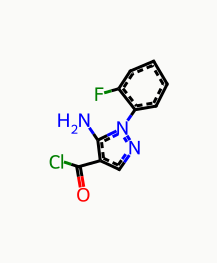 Nc1c(C(=O)Cl)cnn1-c1ccccc1F